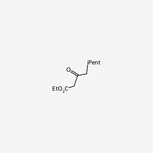 CCCC(C)CC(=O)CC(=O)OCC